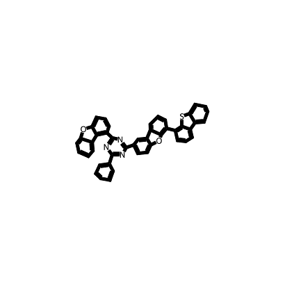 c1ccc(-c2nc(-c3ccc4oc5c(-c6cccc7c6sc6ccccc67)cccc5c4c3)nc(-c3cccc4oc5ccccc5c34)n2)cc1